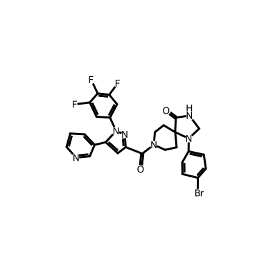 O=C(c1cc(-c2cccnc2)n(-c2cc(F)c(F)c(F)c2)n1)N1CCC2(CC1)C(=O)NCN2c1ccc(Br)cc1